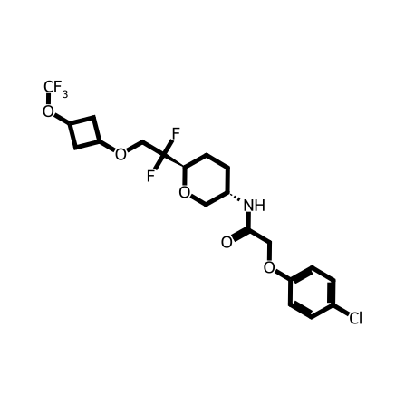 O=C(COc1ccc(Cl)cc1)N[C@H]1CC[C@H](C(F)(F)COC2CC(OC(F)(F)F)C2)OC1